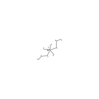 CCC[SH](C)(C)(C)CCC